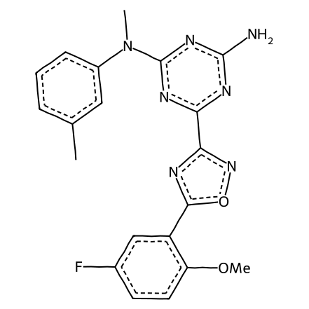 COc1ccc(F)cc1-c1nc(-c2nc(N)nc(N(C)c3cccc(C)c3)n2)no1